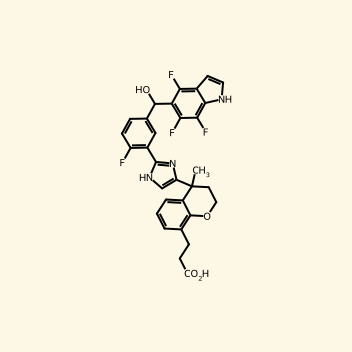 CC1(c2c[nH]c(-c3cc(C(O)c4c(F)c(F)c5[nH]ccc5c4F)ccc3F)n2)CCOc2c(CCC(=O)O)cccc21